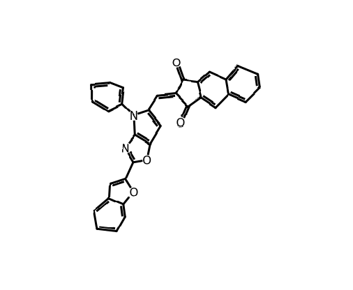 O=C1C(=Cc2cc3oc(-c4cc5ccccc5o4)nc3n2-c2ccccc2)C(=O)c2cc3ccccc3cc21